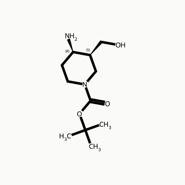 CC(C)(C)OC(=O)N1CC[C@@H](N)[C@@H](CO)C1